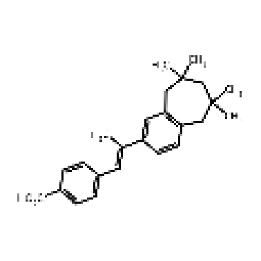 CC(=Cc1ccc(C(=O)O)cc1)c1ccc2c(c1)CC(C)(C)CC(C)(C)C2